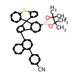 CC1(C)OB(c2ccc3c(c2)C2(c4ccccc4Sc4ccccc42)c2cccc(-c4ccc(-c5ccc(C#N)cc5)c5ccccc45)c2-3)OC1(C)C